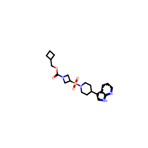 O=C(OCC1CCC1)N1CC(S(=O)(=O)N2CCC(c3c[nH]c4ncccc34)CC2)C1